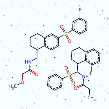 CCC(=O)NC(C1CCCc2cccc(F)c21)S(=O)(=O)c1ccccc1.COCC(=O)NCC1CCCc2cc(S(=O)(=O)c3cccc(F)c3)ccc21